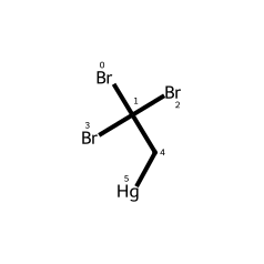 BrC(Br)(Br)[CH2][Hg]